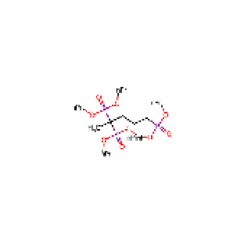 CCCOP(=O)(CCCC(C)(P(=O)(OCCC)OCCC)P(=O)(OCCC)OCCC)OCCC